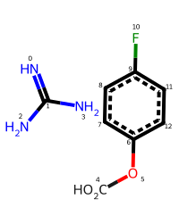 N=C(N)N.O=C(O)Oc1ccc(F)cc1